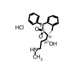 CNCC[C@@H](O)[C@H]1Cc2ccccc2N(c2ccccc2)S1(=O)=O.Cl